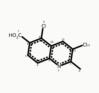 Cc1nc2ccc(C(=O)O)c(Cl)c2cc1Cl